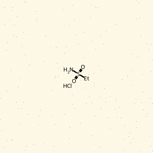 CCS(N)(=O)=O.Cl